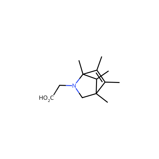 CC1=C(C)C2(C)C(C)C1(C)CN2CC(=O)O